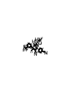 CNC(=O)Nc1nc2n(n1)[C@H](c1ccc(C#N)cc1)C(C#N)=C(C)N2c1cccc(C(F)(F)F)c1